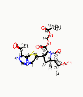 CCC(=O)c1ncn2cc(C3=C(C(=O)OCOC(=O)C(C)(C)C)N4C(=O)[C@H]([C@@H](C)O)[C@H]4C3)sc12